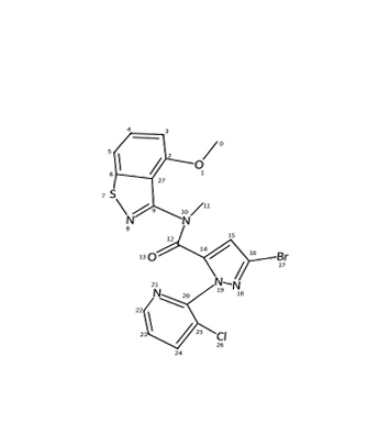 COc1cccc2snc(N(C)C(=O)c3cc(Br)nn3-c3ncccc3Cl)c12